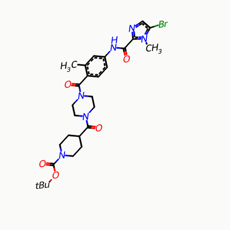 Cc1cc(NC(=O)c2ncc(Br)n2C)ccc1C(=O)N1CCN(C(=O)C2CCN(C(=O)OC(C)(C)C)CC2)CC1